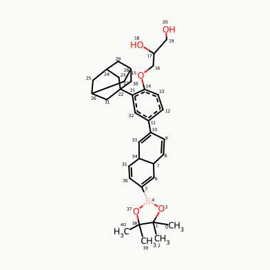 CC1(C)OB(C2=CC3C=CC(c4ccc(OCC(O)CO)c(C56CC7CC(CC(C7)C5)C6)c4)=CC3C=C2)OC1(C)C